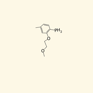 COCCOc1cc(C)ccc1P